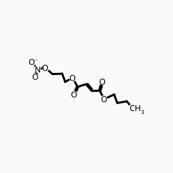 CCCCOC(=O)/C=C/C(=O)OCCCO[N+](=O)[O-]